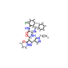 CCn1cc(-c2nn3c(c2C(=O)N[C@H]2N=C(c4ccccc4)c4cccc(F)c4NC2=O)OCCC3)cn1